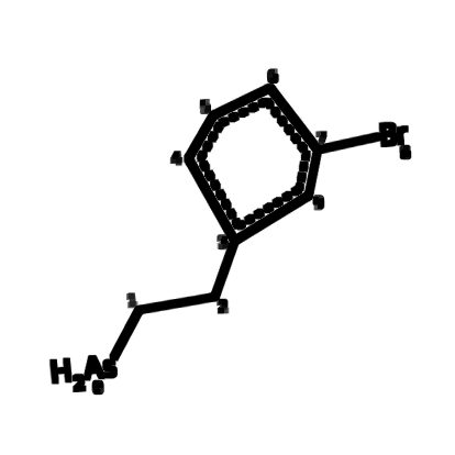 [AsH2]CCc1cccc(Br)c1